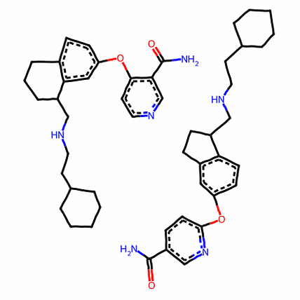 NC(=O)c1ccc(Oc2ccc3c(c2)CCC3CNCCC2CCCCC2)nc1.NC(=O)c1cnccc1Oc1ccc2c(c1)C(CNCCC1CCCCC1)CCC2